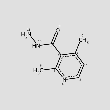 Cc1ccnc(C)c1C(=O)NN